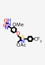 COC1C=C(OCc2sc(-c3ccc(C(F)(F)F)cc3)nc2COC(C)=O)C=CC1c1noc(=O)[nH]1